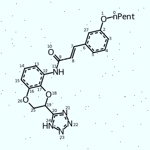 CCCCCOc1cccc(/C=C/C(=O)Nc2cccc3c2OC(c2nnn[nH]2)CO3)c1